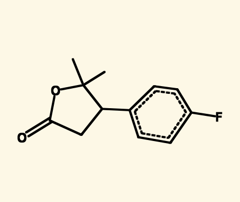 CC1(C)OC(=O)CC1c1ccc(F)cc1